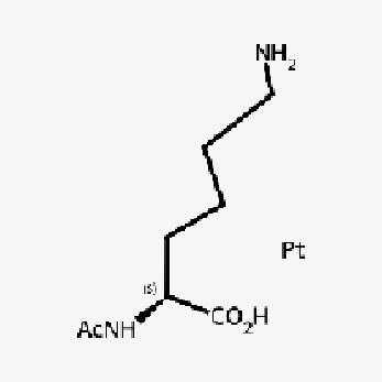 CC(=O)N[C@@H](CCCCN)C(=O)O.[Pt]